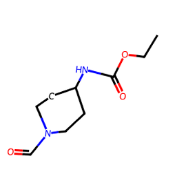 CCOC(=O)NC1CCN(C=O)CC1